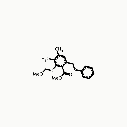 COCOc1c(C)c(C)cc(CSc2ccccc2)c1C(=O)OC